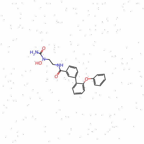 NC(=O)N(O)CCNC(=O)c1cccc(-c2ccccc2Oc2ccccc2)c1